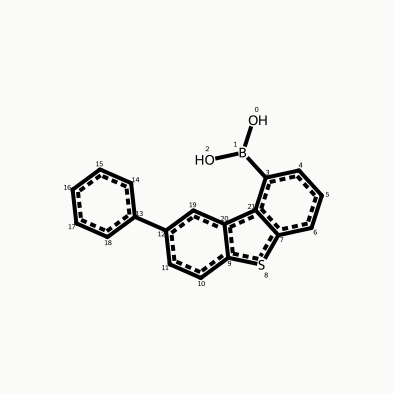 OB(O)c1cccc2sc3ccc(-c4ccccc4)cc3c12